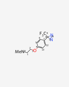 CNCCOc1ccc(C2(C(F)(F)F)N=N2)cc1